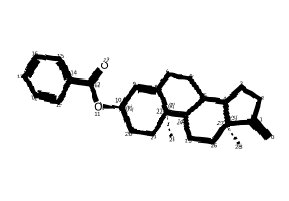 C=C1CCC2C3CCC4=C[C@H](OC(=O)c5ccccc5)CC[C@]4(C)C3CC[C@]12C